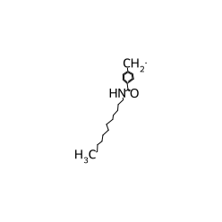 [CH2]c1ccc(C(=O)NCCCCCCCCCCCC)cc1